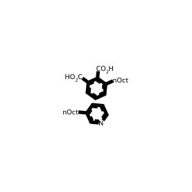 CCCCCCCCc1cccc(C(=O)O)c1C(=O)O.CCCCCCCCc1cccnc1